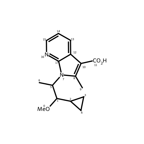 COC(C1CC1)C(C)n1c(C)c(C(=O)O)c2cccnc21